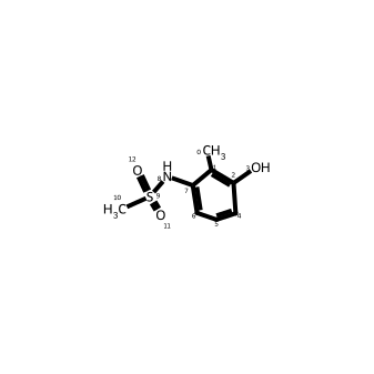 Cc1c(O)cccc1NS(C)(=O)=O